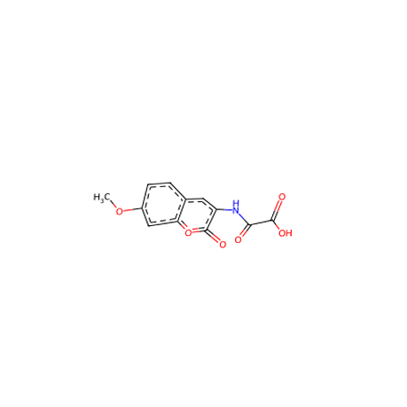 COc1ccc2cc(NC(=O)C(=O)O)c(=O)oc2c1